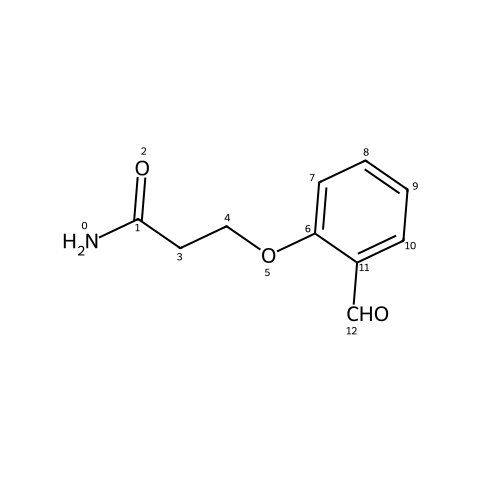 NC(=O)CCOc1ccccc1C=O